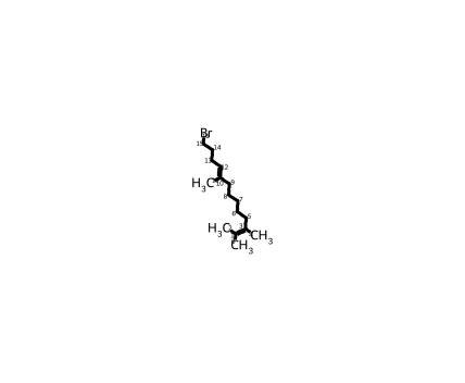 CC(C)=C(C)CCCCC/C(C)=C/CCCBr